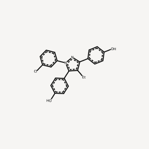 CCc1c(-c2ccc(O)cc2)nn(-c2cccc(Cl)c2)c1-c1ccc(O)cc1